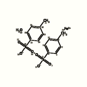 Cc1ccc(S(=O)(=O)[O-])cc1.Cc1ccc(S(=O)(=O)[O-])cc1.O.[Fe+2]